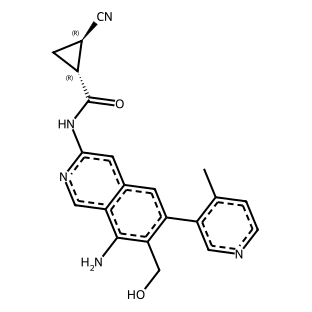 Cc1ccncc1-c1cc2cc(NC(=O)[C@@H]3C[C@H]3C#N)ncc2c(N)c1CO